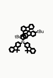 CC(C)(C)c1ccc2c(c1)C1(c3cc(C(C)(C)C)ccc3-2)c2ccccc2-c2cccc(-c3ccc(N(c4ccc5c(c4)C(C)(C)c4ccccc4-5)c4ccc5c(c4)C(C)(C)c4ccccc4-5)cc3)c21